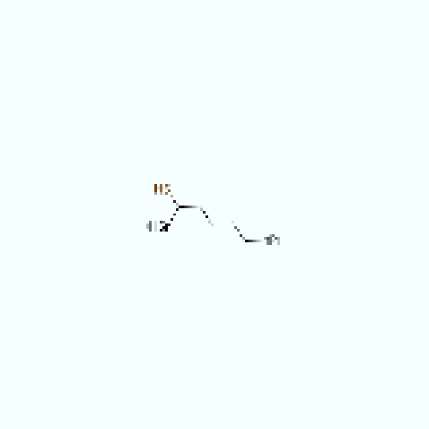 CCCCCCC[CH](S)[SnH]